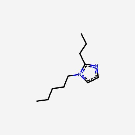 CCCCCn1ccnc1CCC